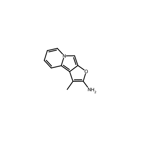 Cc1c(N)oc2cn3ccccc3c12